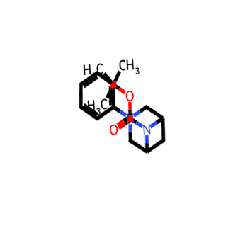 CC(C)(C)OC(=O)N1C2CC1CN(c1ccccc1)C2